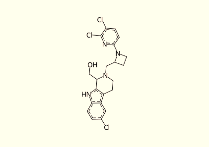 OCC1c2[nH]c3ccc(Cl)cc3c2CCN1CC1CCN1c1ccc(Cl)c(Cl)n1